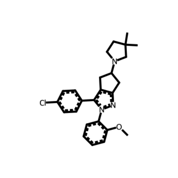 COc1ccccc1-n1nc2c(c1-c1ccc(Cl)cc1)CC(N1CCC(C)(C)C1)C2